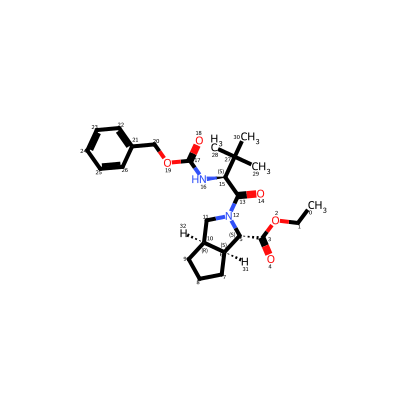 CCOC(=O)[C@@H]1[C@H]2CCC[C@H]2CN1C(=O)[C@@H](NC(=O)OCc1ccccc1)C(C)(C)C